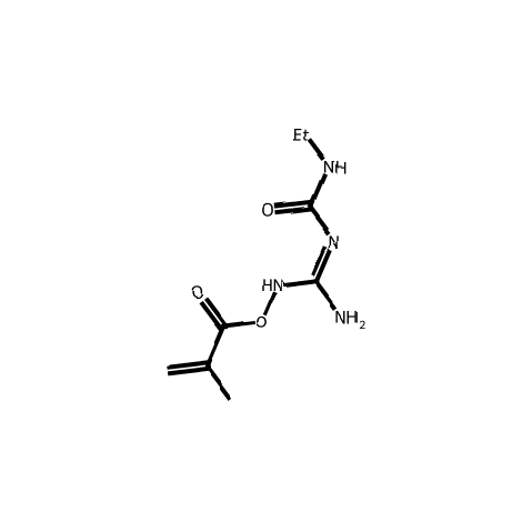 C=C(C)C(=O)ONC(N)=NC(=O)NCC